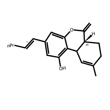 C=C1Oc2cc(/C=C/CCC)cc(O)c2C2C=C(C)CC[C@@H]12